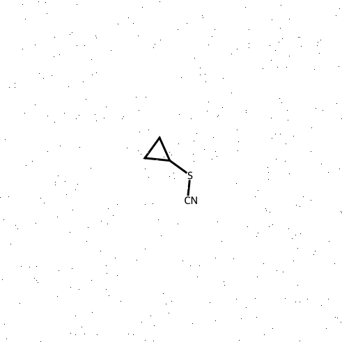 N#CSC1CC1